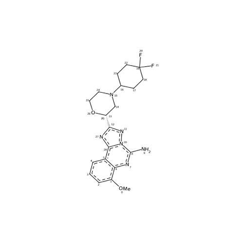 COc1cccc2c1nc(N)n1nc([C@H]3CN(C4CCC(F)(F)CC4)CCO3)nc21